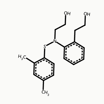 Cc1ccc(SN(CCO)c2ccccc2CCO)c(C)c1